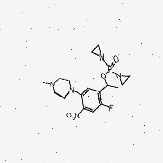 CC(OP(=O)(N1CC1)N1CC1)c1cc(N2CCN(C)CC2)c([N+](=O)[O-])cc1F